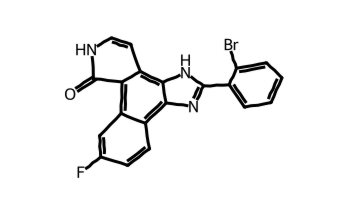 O=c1[nH]ccc2c3[nH]c(-c4ccccc4Br)nc3c3ccc(F)cc3c12